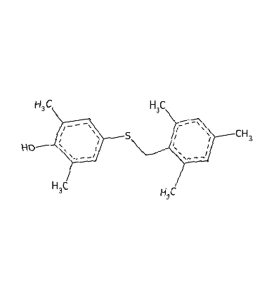 Cc1cc(C)c(CSc2cc(C)c(O)c(C)c2)c(C)c1